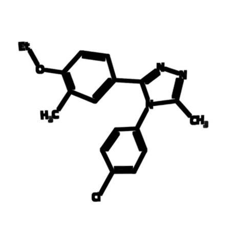 CCOc1ccc(-c2nnc(C)n2-c2ccc(Cl)cc2)cc1C